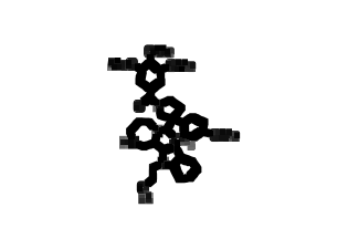 CCOCCn1c(C2CNCCCN2C(C)C2(c3ccc(OC)cc3)CCN(C(=O)c3cc(OC)c(OC)c(OC)c3)C2)nc2ccccc21